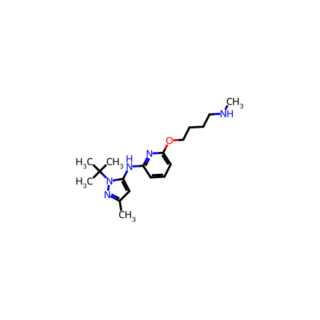 CNCCCCOc1cccc(Nc2cc(C)nn2C(C)(C)C)n1